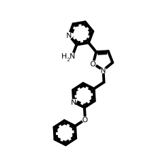 Nc1ncccc1C1=CCN(Cc2ccnc(Oc3ccccc3)c2)O1